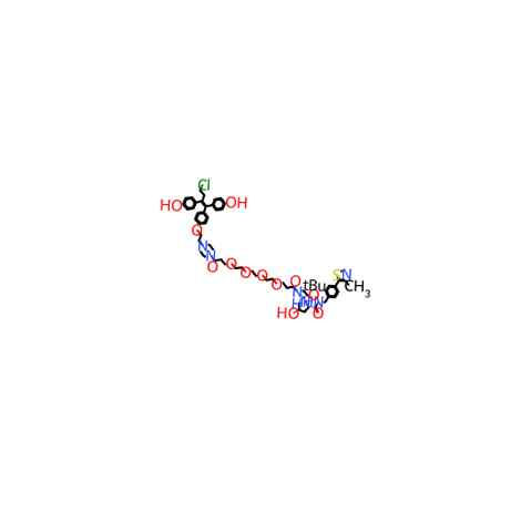 Cc1ncsc1-c1ccc(CNC(=O)[C@@H]2C[C@@H](O)CN2C(=O)[C@@H](NC(=O)CCOCCOCCOCCOCCC(=O)N2CCN(CCOc3ccc(C(=C(CCCl)c4ccc(O)cc4)c4ccc(O)cc4)cc3)CC2)C(C)(C)C)cc1